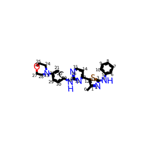 Cc1nc(Nc2ccccc2)sc1-c1ccnc(Nc2ccc(N3CCOCC3)cc2)n1